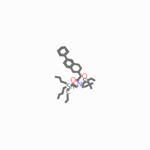 CCC[CH2][Sn]([CH2]CCC)([CH2]CCC)[c]1cnc(C(O[Si](CC)(CC)C(C)(C)C)C2CCc3cc(-c4ccccc4)ccc3C2)o1